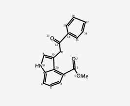 COC(=O)c1cccc2[nH]cc(CC(=O)c3ccccc3)c12